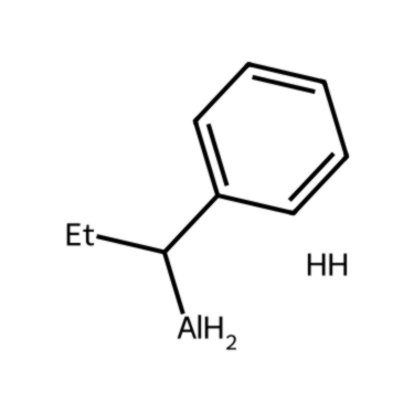 CC[CH]([AlH2])c1ccccc1.[HH]